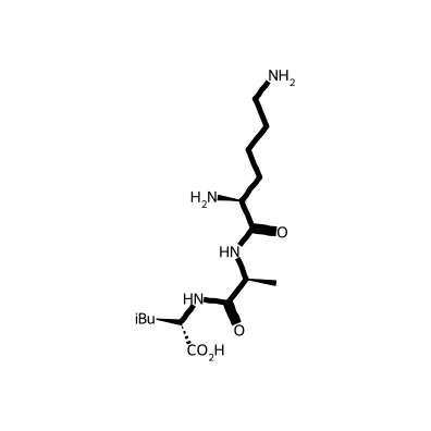 CC[C@H](C)[C@H](NC(=O)[C@H](C)NC(=O)[C@@H](N)CCCCN)C(=O)O